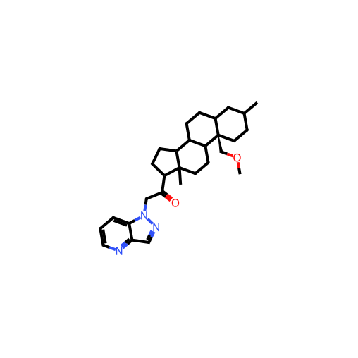 COC[C@]12CCC(C)CC1CCC1C3CCC(C(=O)Cn4ncc5ncccc54)C3(C)CCC12